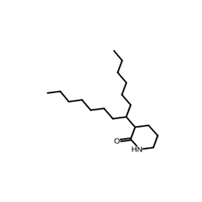 CCCCCCCC(CCCCCC)C1CCCNC1=O